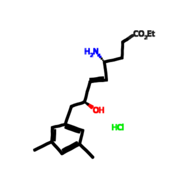 CCOC(=O)CC[C@@H](N)C=C[C@@H](O)Cc1cc(C)cc(C)c1.Cl